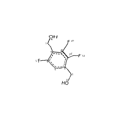 OCc1cc(F)c(CO)c(F)c1F